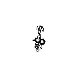 CC(C)Cc1c(OCCn2nccn2)cccc1N(C)S(C)(=O)=O